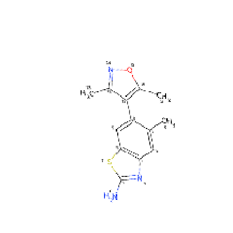 Cc1cc2nc(N)sc2cc1-c1c(C)noc1C